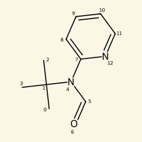 CC(C)(C)N(C=O)c1ccccn1